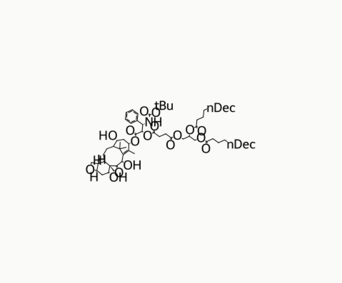 CCCCCCCCCCCCCC(=O)OCC(COC(=O)CCC(=O)O[C@@H](C(=O)O[C@H]1C[C@H](O)C2CC[C@@H]3[C@@H]4CO[C@@H]4C[C@H](O)[C@@]3(C)C(=O)[C@H](O)C(=C1C)C2(C)C)[C@@H](NC(=O)OC(C)(C)C)c1ccccc1)OC(=O)CCCCCCCCCCCCC